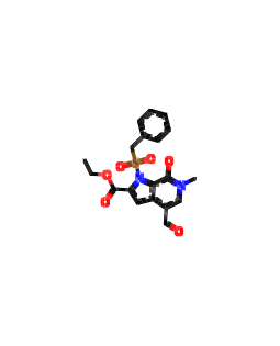 CCOC(=O)c1cc2c(C=O)cn(C)c(=O)c2n1S(=O)(=O)Cc1ccccc1